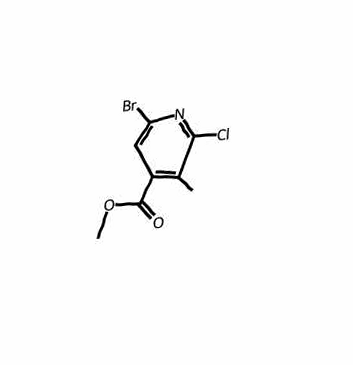 COC(=O)c1cc(Br)nc(Cl)c1C